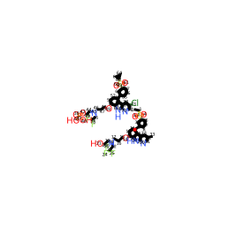 CCS(=O)(=O)c1cccc(-c2ccc(OCCCN(CCO)CC(F)(F)F)c3[nH]c4ncc(C)cc4c23)c1.O=P(O)(O)OCCN(CCCOc1ccc(-c2cccc(S(=O)(=O)C3CC3)c2)c2c1[nH]c1ncc(Cl)cc12)CC(F)F